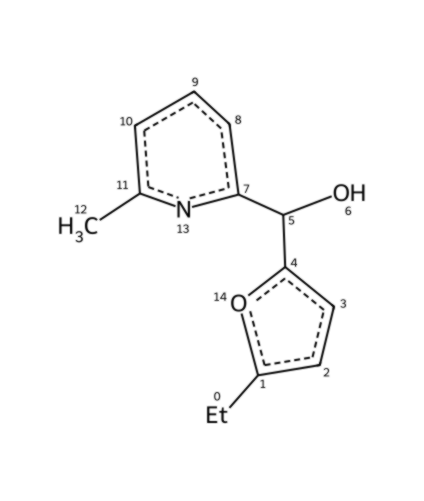 CCc1ccc(C(O)c2cccc(C)n2)o1